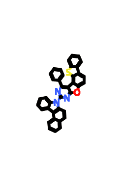 c1ccc(-c2nc(-n3c4ccccc4c4c5ccccc5ccc43)nc3oc4ccc5c6ccccc6sc5c4c23)cc1